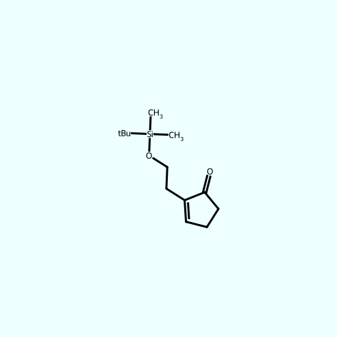 CC(C)(C)[Si](C)(C)OCCC1=CCCC1=O